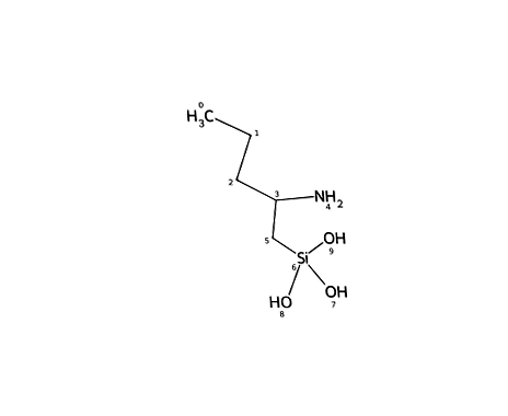 CCCC(N)C[Si](O)(O)O